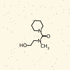 CN(CCO)C(=O)N1CC[CH]CC1